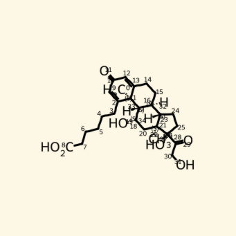 C[C@]12C(CCCCCC(=O)O)=CC(=O)C=C1CC[C@@H]1[C@@H]2[C@@H](O)C[C@@]2(C)[C@H]1CC[C@]2(O)C(=O)CO